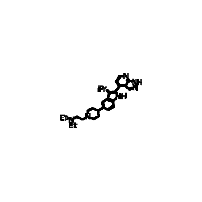 CCN(CC)CCN1CCC(c2ccc3[nH]c(-c4ccnc5[nH]ncc45)c(C(C)C)c3c2)CC1